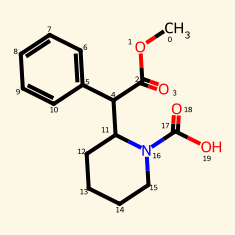 COC(=O)C(c1ccccc1)C1CCCCN1C(=O)O